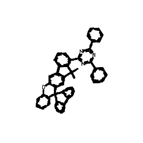 CC1(C)c2cc3c(cc2-c2cccc(-c4nc(-c5ccccc5)nc(-c5ccccc5)n4)c21)Oc1ccccc1C31c2ccccc2-c2ccccc21